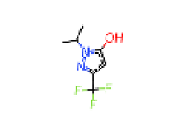 CC(C)n1nc(C(F)(F)F)cc1O